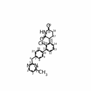 Cc1ccnc(Cc2ccc(-c3cccc(C4CCC(=O)NC4=O)c3Cl)cc2)n1